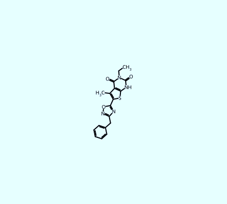 CCn1c(=O)[nH]c2sc(-c3nc(Cc4ccccc4)no3)c(C)c2c1=O